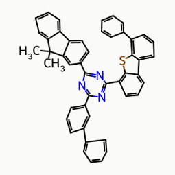 CC1(C)c2ccccc2-c2ccc(-c3nc(-c4cccc(-c5ccccc5)c4)nc(-c4cccc5c4sc4c(-c6ccccc6)cccc45)n3)cc21